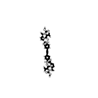 CC[C@@H]1CC[C@@H](c2nc3cc(C#Cc4ccc5[nH]c([C@@H]6CC[C@@H](CC)N6C(=O)[C@@H](NC(=O)OC)C(C)C)nc5c4)ccc3[nH]2)N1C(=O)[C@@H](NC(=O)OC)C(C)C